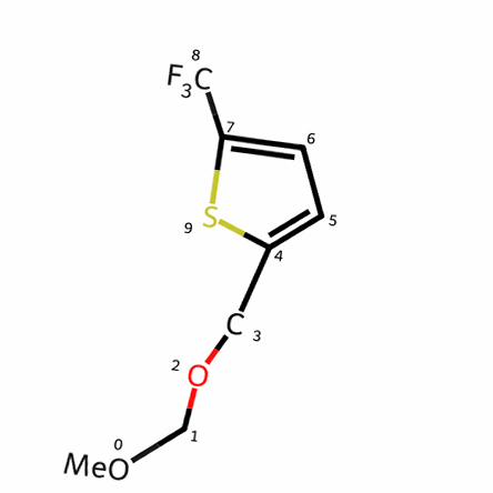 COCOCc1ccc(C(F)(F)F)s1